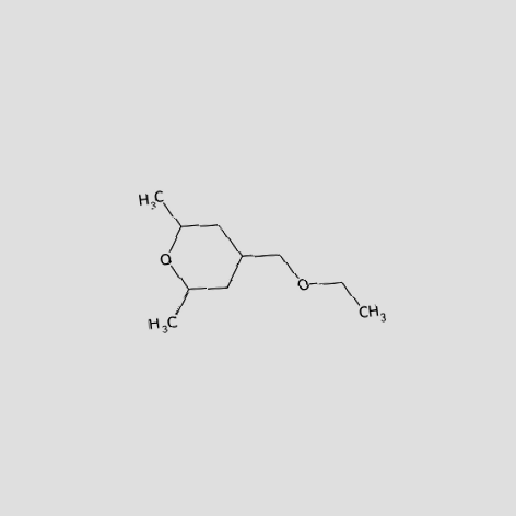 CCOCC1CC(C)OC(C)C1